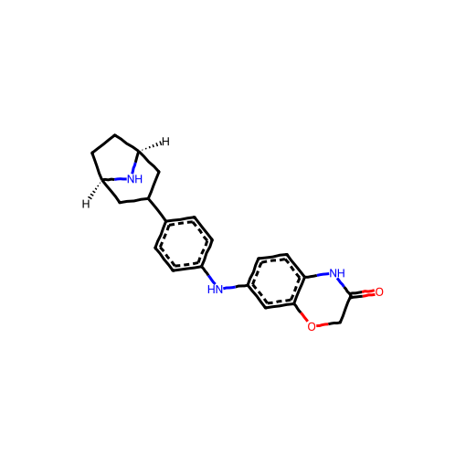 O=C1COc2cc(Nc3ccc(C4C[C@H]5CC[C@@H](C4)N5)cc3)ccc2N1